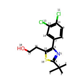 CC(C)(C)c1nc(-c2ccc(Cl)c(Cl)c2)c(CCO)s1